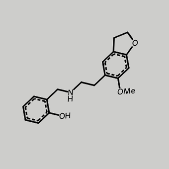 COc1cc2c(cc1CCNCc1ccccc1O)CCO2